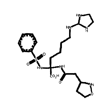 O=C(CC1CCON1)NC(CCCCNC1NCCN1)(NS(=O)(=O)c1ccccc1)C(=O)O